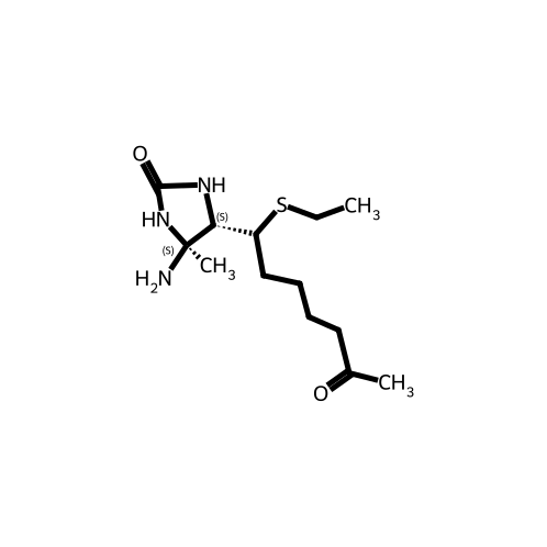 CCSC(CCCCC(C)=O)[C@H]1NC(=O)N[C@]1(C)N